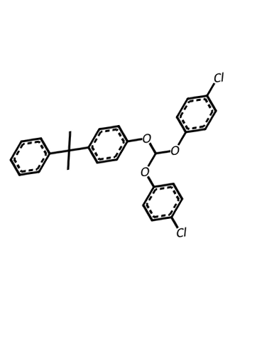 CC(C)(c1ccccc1)c1ccc(OC(Oc2ccc(Cl)cc2)Oc2ccc(Cl)cc2)cc1